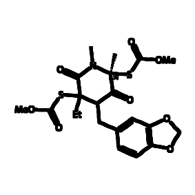 CCC1(SC(=O)OC)C(=O)N(C)[C@@](C)(SC(=O)OC)C(=O)C1Cc1ccc2c(c1)OCO2